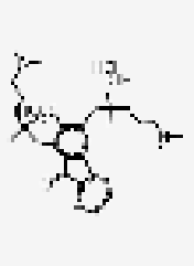 CN(C)CCCC(C)(C)Cc1cc2c(c(CC(C)(C)CCCN(C)C)c1C(=O)O)C(=O)c1ccccc1-2.Cl.Cl